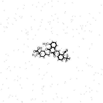 Cc1cccc2c1c(=O)n(CC1CCC(C)(C(=O)O)CC1)c(=O)n2Cc1cccc(C(F)(F)F)c1C#N